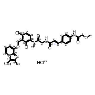 COCC(=O)Nc1ccc(/C=C/C(=O)NCC(=O)N(C)c2ccc(Cl)c(COc3cccn4c(Cl)c(C)nc34)c2Cl)cc1.Cl